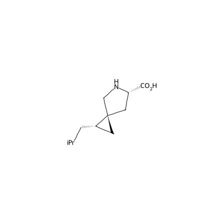 CC(C)C[C@H]1C[C@]12CN[C@H](C(=O)O)C2